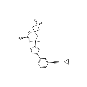 CC1(c2cc(-c3cccc(C#CC4CC4)c3)cs2)CC2(CS(=O)(=O)C2)OC(N)=N1